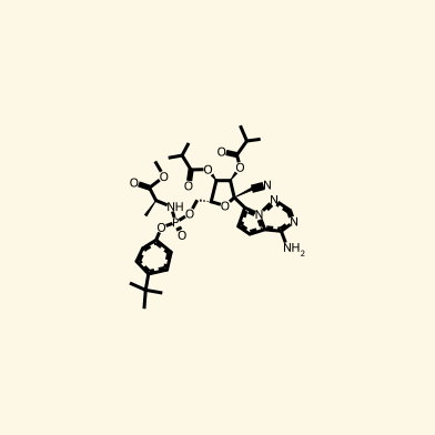 COC(=O)[C@H](C)NP(=O)(OC[C@H]1O[C@@](C#N)(c2ccc3c(N)ncnn23)[C@H](OC(=O)C(C)C)[C@@H]1OC(=O)C(C)C)Oc1ccc(C(C)(C)C)cc1